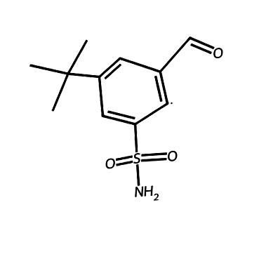 CC(C)(C)c1cc(C=O)[c]c(S(N)(=O)=O)c1